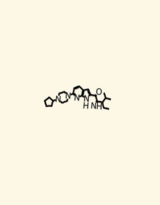 CCC(C(=N)C(=O)c1cc2ccc(N3CCN(C4CCCC4)CC3)nc2[nH]1)C(C)C